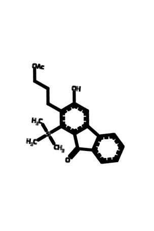 CC(=O)OCCCc1c(O)cc2c(c1[Si](C)(C)C)C(=O)c1ccccc1-2